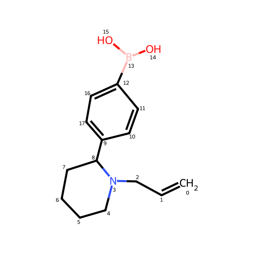 C=CCN1CCCCC1c1ccc(B(O)O)cc1